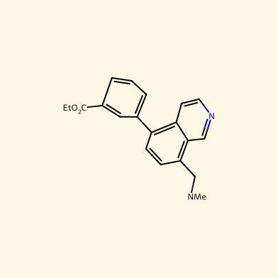 CCOC(=O)c1cccc(-c2ccc(CNC)c3cnccc23)c1